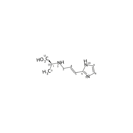 C[C@H](NCC=Cc1ncc[nH]1)C(=O)O